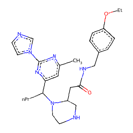 CCCC(c1cc(C)nc(-n2ccnc2)n1)N1CCNCC1CC(=O)NCc1ccc(OCC)cc1